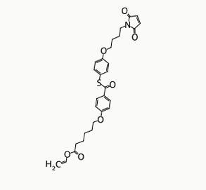 C=COC(=O)CCCCCOc1ccc(C(=O)Sc2ccc(OCCCCN3C(=O)C=CC3=O)cc2)cc1